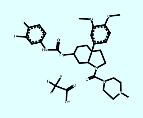 COc1ccc(C23CCC(NC(=O)Nc4ccc(F)c(F)c4)CC2N(C(=O)N2CCN(C)CC2)CC3)cc1OC.O=C(O)C(F)(F)F